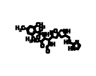 Cc1cc(C)c(S(=O)(=O)NC(C(=O)O)C(NC=O)C2=NO[C@]3(CNC(CNc4ncc[nH]4)C3)C2)c(C)c1